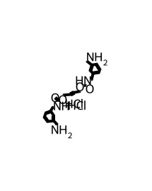 Cl.Cl.NCc1cccc(CNC(=O)OCC#CCOC(=O)NCc2cccc(CN)c2)c1